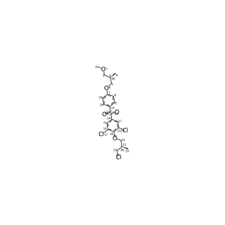 COC[C@@H](C)COc1ccc(S(=O)(=O)c2cc(Cl)c(OC[C@@H](C)CCl)c(Cl)c2)cc1